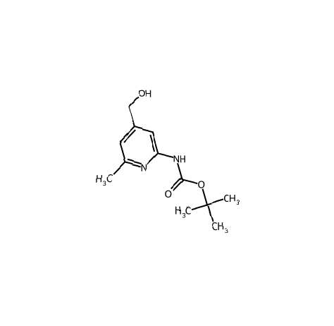 Cc1cc(CO)cc(NC(=O)OC(C)(C)C)n1